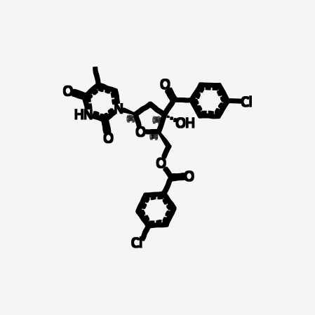 Cc1cn([C@H]2C[C@@](O)(C(=O)c3ccc(Cl)cc3)[C@@H](COC(=O)c3ccc(Cl)cc3)O2)c(=O)[nH]c1=O